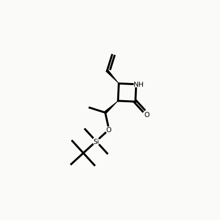 C=C[C@H]1NC(=O)[C@H]1C(C)O[Si](C)(C)C(C)(C)C